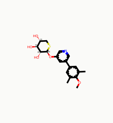 COc1c(C)cc(-c2cncc(O[C@@H]3SC[C@@H](O)[C@H](O)[C@H]3O)c2)cc1C